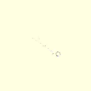 O=C(CCCN(CCCl)CCCl)OCCNC(=O)c1cccnc1